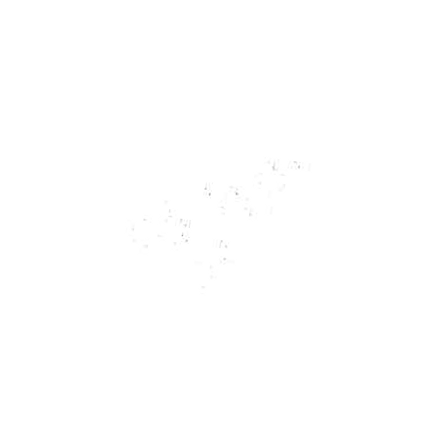 Nc1cc(F)c(-c2nc3c(c(N4CCOCC4)n2)CCN(C(=O)c2cc(Cc4n[nH]c(=O)c5ccccc45)ccc2F)C3)cn1